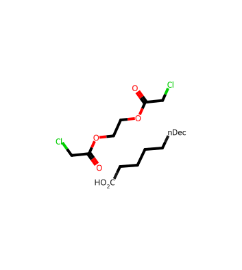 CCCCCCCCCCCCCCC(=O)O.O=C(CCl)OCCOC(=O)CCl